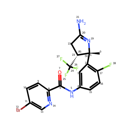 C[C@]1(c2cc(NC(=O)c3ccc(Br)cn3)ccc2F)N=C(N)C[C@H]1C(F)(F)F